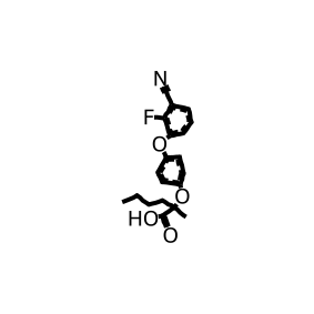 CCCCC(C)(Oc1ccc(Oc2cccc(C#N)c2F)cc1)C(=O)O